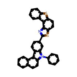 c1ccc(-n2c3cc(-c4nc5c(ccc6sc7ccccc7c65)s4)ccc3c3c4ccccc4ccc32)cc1